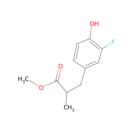 COC(=O)C(C)Cc1ccc(O)c(F)c1